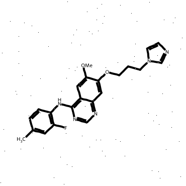 COc1cc2c(Nc3ccc(C)cc3F)ncnc2cc1OCCCn1ccnc1